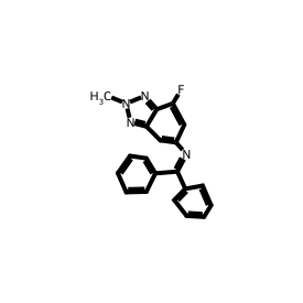 Cn1nc2cc(N=C(c3ccccc3)c3ccccc3)cc(F)c2n1